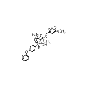 Cc1cc(CSC(C)(C)[C@H](C(N)=O)N(O)S(=O)(=O)c2ccc(Oc3ccccn3)cc2)no1